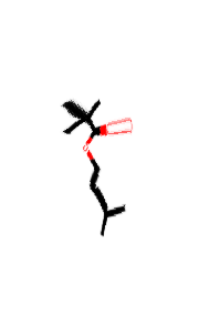 CC(C)=CCOC(=O)C(C)(C)C